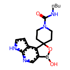 CCCCNC(=O)N1CCC2(CC1)OB(O)c1cnc3[nH]ccc3c12